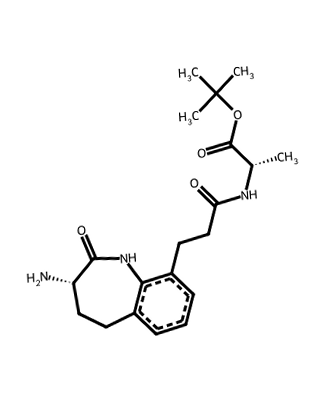 C[C@H](NC(=O)CCc1cccc2c1NC(=O)[C@@H](N)CC2)C(=O)OC(C)(C)C